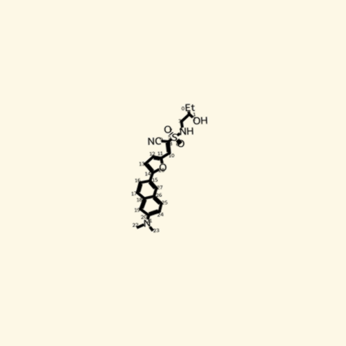 CCC(O)CNS(=O)(=O)/C(C#N)=C/c1ccc(-c2ccc3cc(N(C)C)ccc3c2)o1